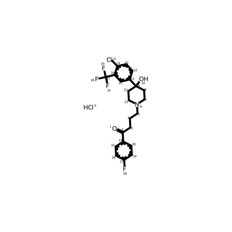 Cl.O=C(CCCN1CCC(O)(c2ccc(Cl)c(C(F)(F)F)c2)CC1)c1ccc(F)cc1